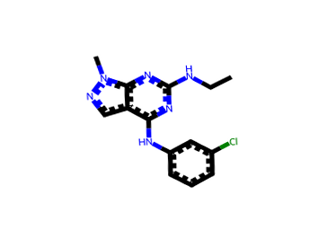 CCNc1nc(Nc2cccc(Cl)c2)c2cnn(C)c2n1